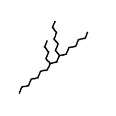 CCCCCCCC([CH]C(CCCCCC)CCCCCC)CCCC